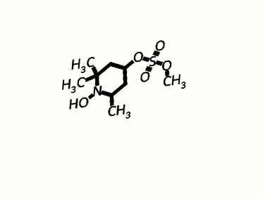 COS(=O)(=O)OC1CC(C)N(O)C(C)(C)C1